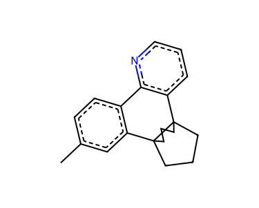 Cc1ccc2c(c1)C13CCCC1(CCC3)c1cccnc1-2